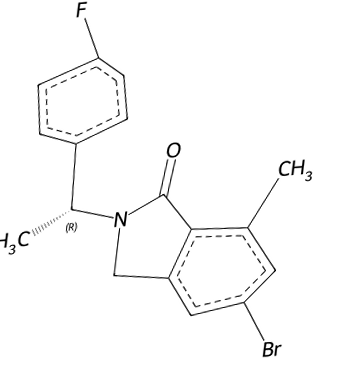 Cc1cc(Br)cc2c1C(=O)N([C@H](C)c1ccc(F)cc1)C2